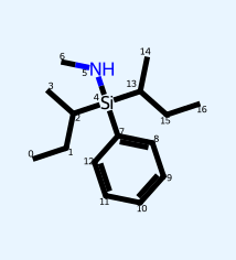 CCC(C)[Si](NC)(c1ccccc1)C(C)CC